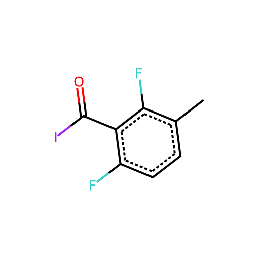 Cc1ccc(F)c(C(=O)I)c1F